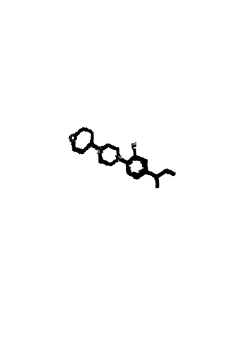 CCC(C)c1ccc(N2CCN(C3CCOCC3)CC2)c(F)c1